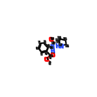 COC(=O)c1ccccc1NC(=O)[C@@H]1CCCN1